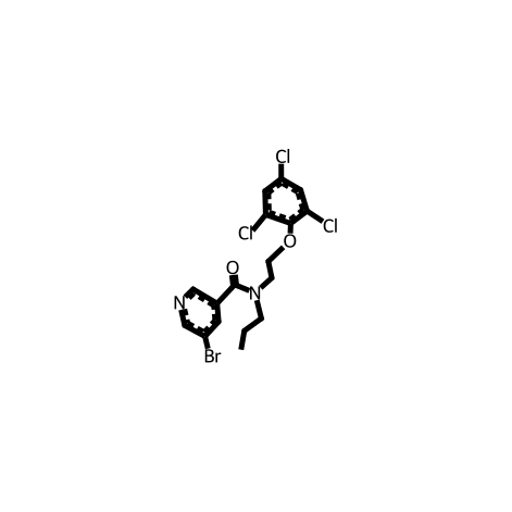 CCCN(CCOc1c(Cl)cc(Cl)cc1Cl)C(=O)c1cncc(Br)c1